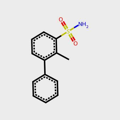 Cc1c(-c2ccccc2)cccc1S(N)(=O)=O